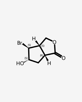 O=C1OC[C@H]2[C@H](Br)[C@@H](O)C[C@@H]12